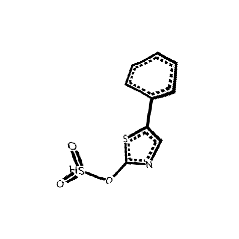 O=[SH](=O)Oc1ncc(-c2ccccc2)s1